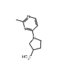 Cc1nccc(N2CCC(C(=O)O)C2)n1